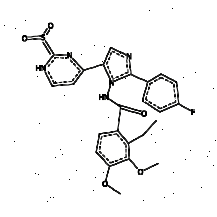 CCc1c(C(=O)Nn2c(-c3cc[nH]c(=S(=O)=O)n3)cnc2-c2ccc(F)cc2)ccc(OC)c1OC